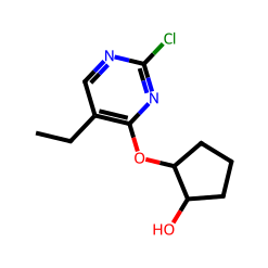 CCc1cnc(Cl)nc1OC1CCCC1O